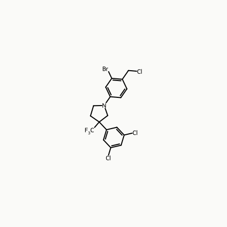 FC(F)(F)C1(c2cc(Cl)cc(Cl)c2)CCN(c2ccc(CCl)c(Br)c2)C1